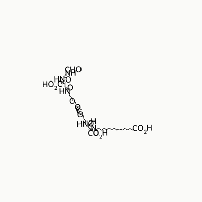 O=CNCC(=O)N[C@@H](CCC(=O)NCCCOCCOCCOCCCNC(=O)C[C@H](NC(=O)CCCCCCCCCCCCCCC(=O)O)C(=O)O)C(=O)O